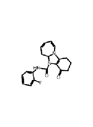 O=C1CCCC2=C1N(C(=O)Nc1ccccc1F)C1CC=CC=CN21